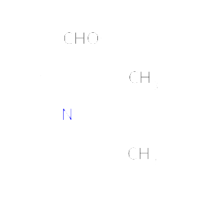 CC(C)/N=[C]\[C]=O